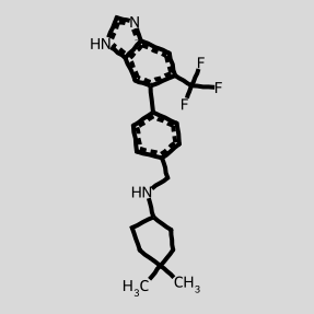 CC1(C)CCC(NCc2ccc(-c3cc4[nH]cnc4cc3C(F)(F)F)cc2)CC1